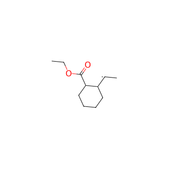 C[CH]C1CCCCC1C(=O)OCC